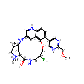 CCCOCc1ncc(-c2ccc3ncc4cc3c2OCC(F)CNC(=O)[C@@H]2C[C@H](CCN2C)N4)cn1